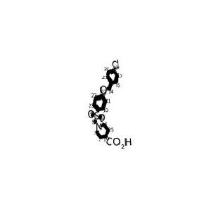 O=C(O)C1CCN(CS(=O)(=O)c2ccc(OCc3ccc(Cl)cc3)cc2)CC1